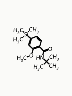 COc1cc([Si](C)(C)C)ccc1C(=O)NC(C)(C)C